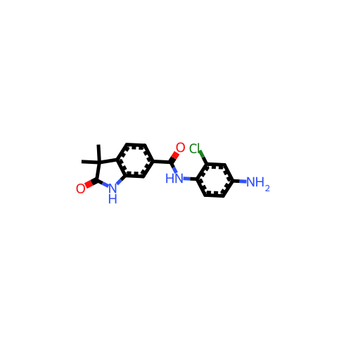 CC1(C)C(=O)Nc2cc(C(=O)Nc3ccc(N)cc3Cl)ccc21